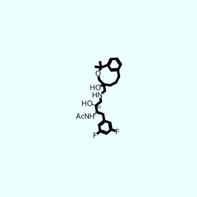 CC(=O)N[C@@H](Cc1cc(F)cc(F)c1)[C@H](O)CNCC1(O)CCCc2cccc(c2)C(C)(C)OC1